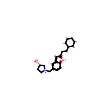 O[C@H]1CCN(Cc2ccc3oc(CCC4CCCCC4)cc3c2)C1